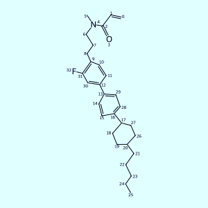 C=CC(=O)N(C)CCCc1ccc(-c2ccc(C3CCC(CCCCC)CC3)cc2)cc1F